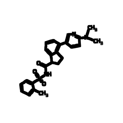 Cc1ccccc1S(=O)(=O)NC(=O)C1CCc2c(-c3ccc(N(C)C)nc3)cccc21